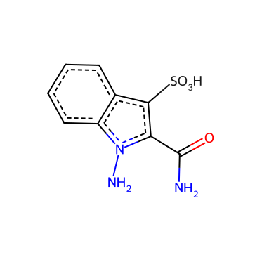 NC(=O)c1c(S(=O)(=O)O)c2ccccc2n1N